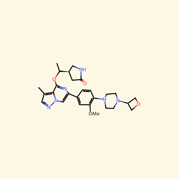 COc1cc(-c2cn3ncc(C)c3c(OC(C)[C@H]3CNC(=O)C3)n2)ccc1N1CCN(C2COC2)CC1